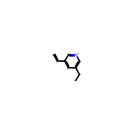 C=Cc1cncc(CC)c1